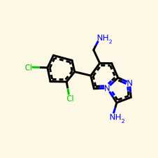 NCc1cc2ncc(N)n2cc1-c1ccc(Cl)cc1Cl